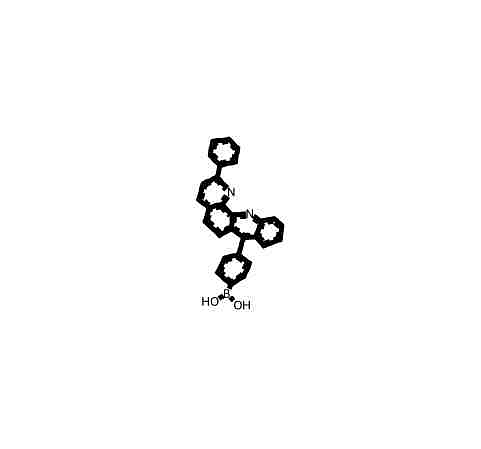 OB(O)c1ccc(-c2c3ccccc3nc3c2ccc2ccc(-c4ccccc4)nc23)cc1